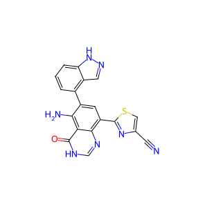 N#Cc1csc(-c2cc(-c3cccc4[nH]ncc34)c(N)c3c(=O)[nH]cnc23)n1